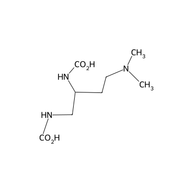 CN(C)CCC(CNC(=O)O)NC(=O)O